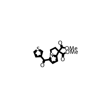 COC(=O)C1(C(=O)OC)CCn2c(C(=O)c3ccsc3)ccc21